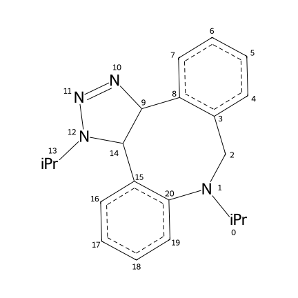 CC(C)N1Cc2ccccc2C2N=NN(C(C)C)C2c2ccccc21